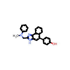 CN(Cc1nc2c(cc(-c3ccc(O)cc3)c3ccccc32)[nH]1)c1ccccc1